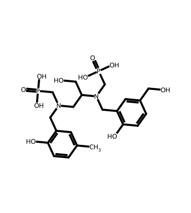 Cc1ccc(O)c(CN(CC(CO)N(Cc2cc(CO)ccc2O)CP(=O)(O)O)CP(=O)(O)O)c1